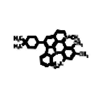 Cc1cc(C)c2c(c1C)c1c3c(cc[n+]1C)cc(C1CCC(C)(C)CC1)c1c4cccc(C)c4n2c13